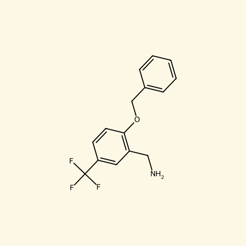 NCc1cc(C(F)(F)F)ccc1OCc1ccccc1